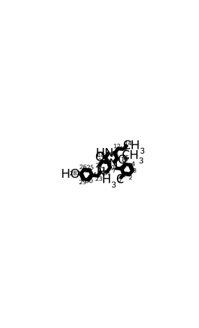 Cc1ccccc1CN1C(=O)C(CC(C)C)NC(=O)C12CCN(Cc1ccc(O)cc1)CC2